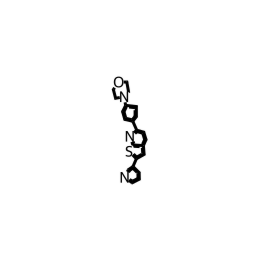 c1cncc(-c2cc3ccc(-c4ccc(N5CCOCC5)cc4)nc3s2)c1